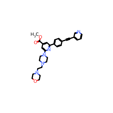 COC(=O)c1cc(-c2ccc(C#Cc3cccnc3)cc2)nc(N2CCN(CCN3CCOCC3)CC2)c1